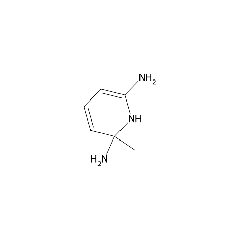 CC1(N)C=CC=C(N)N1